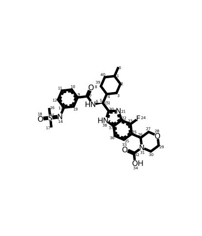 CC1CCC([C@H](NC(=O)c2cccc(N=S(C)(C)=O)c2)c2nc3c(F)c(C4COCCN4C(=O)O)ccc3[nH]2)CC1